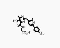 Cc1nc(-c2ccc(C(C)(C)C)cc2)ccc1Cc1nc(C)c(O)c(C(=O)NCC(=O)O)n1